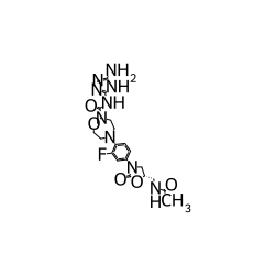 CC(=O)NC[C@H]1CN(c2ccc(N3CCON(C(=O)Nc4nnc(N)[nH]4)CC3)c(F)c2)C(=O)O1